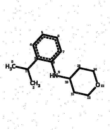 CC(C)c1ccccc1NC1CCOCC1